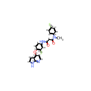 CN(C(=O)CC(=O)Nc1ccc(Oc2ccnc3[nH]ccc23)c(F)c1)c1ccc(F)cc1